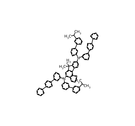 CC(C)c1cccc(-c2cccc(N(c3cccc(-c4ccc(-c5ccccc5)cc4)c3)c3ccc4c(c3)C(C)(C)c3cc(N(c5cccc(-c6ccc(-c7ccccc7)cc6)c5)c5cccc(-c6cccc(C(C)C)c6)c5)c5ccccc5c3-4)c2)c1